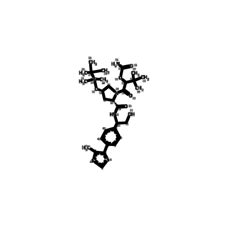 Cc1ncsc1-c1ccc(C(CO)NC(=O)[C@@H]2C[C@@H](O[Si](C)(C)C(C)(C)C)CN2C(=O)C(OC(N)=O)C(C)(C)C)cc1